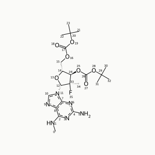 CNc1nc(N)nc2c1ncn2[C@@H]1O[C@H](COC(=O)OC(C)(C)C)[C@@H](OC(=O)OC(C)(C)C)[C@@]1(C)F